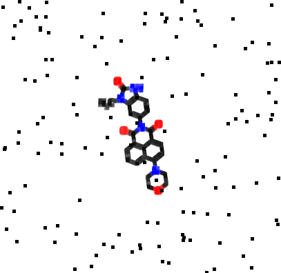 Cn1c(=O)[nH]c2ccc(N3C(=O)c4cccc5c(N6CCOCC6)ccc(c45)C3=O)cc21